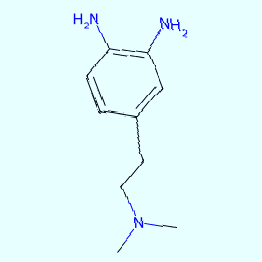 CN(C)CCc1ccc(N)c(N)c1